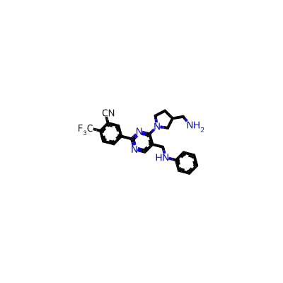 N#Cc1cc(-c2ncc(CNc3ccccc3)c(N3CCC(CN)C3)n2)ccc1C(F)(F)F